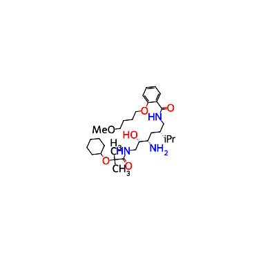 COCCCCOc1ccccc1C(=O)NC[C@@H](C[C@H](N)[C@@H](O)CNC(=O)C(C)(C)OC1CCCCC1)C(C)C